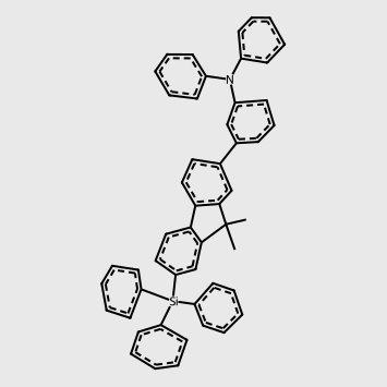 CC1(C)c2cc(-c3cccc(N(c4ccccc4)c4ccccc4)c3)ccc2-c2ccc([Si](c3ccccc3)(c3ccccc3)c3ccccc3)cc21